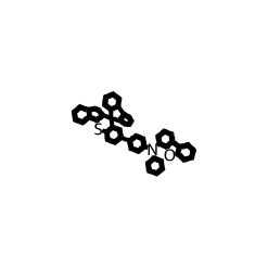 c1ccc(N(c2ccc(-c3ccc4c(c3)C3(c5ccccc5-c5ccccc53)c3ccc5ccccc5c3S4)cc2)c2cccc3c2oc2ccccc23)cc1